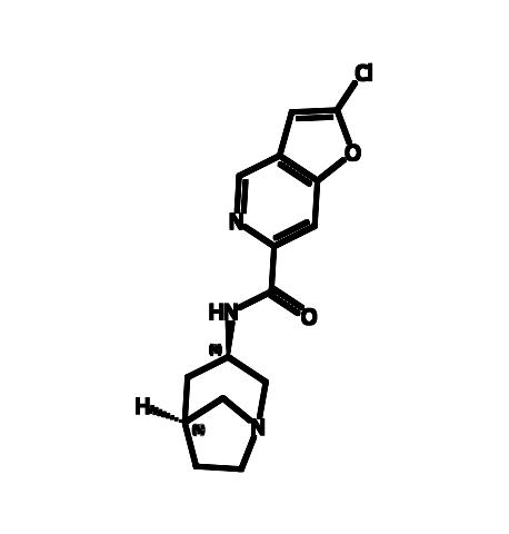 O=C(N[C@@H]1C[C@@H]2CCN(C2)C1)c1cc2oc(Cl)cc2cn1